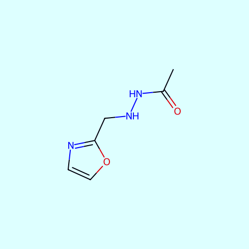 CC(=O)NNCc1ncco1